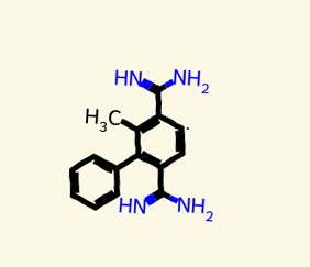 Cc1c(C(=N)N)[c]cc(C(=N)N)c1-c1ccccc1